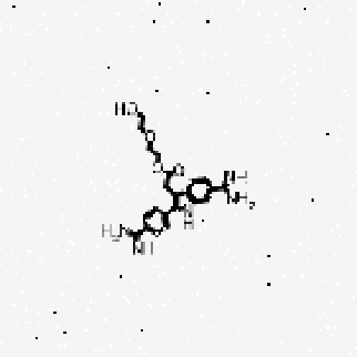 N=C(N)c1ccc(-c2[nH]c3cc(C(=N)N)ccc3c2CC(=O)OCCOCCO)cc1